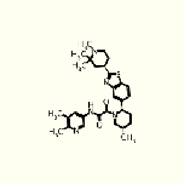 Cc1cc(NC(=O)C(=O)N2C[C@@H](C)CC[C@@H]2c2ccc3sc([C@@H]4CCN(C)C(C)(C)C4)nc3c2)cnc1C